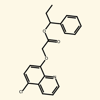 CCC(OC(=O)COc1ccc(Cl)c2cccnc12)c1ccccc1